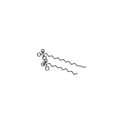 CCCCCCCCCCCCCCCS(=O)(=O)Cl.CCCCCCCCCCCS(=O)(=O)Cl